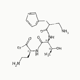 CCC(=O)[C@H](CCN)NC(=O)[C@@H](NC(=O)C(CN)Cc1ccccc1)[C@H](C)O